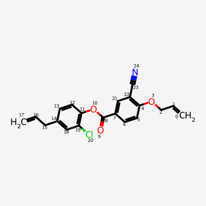 C=CCOc1ccc(C(=O)Oc2ccc(CC=C)cc2Cl)cc1C#N